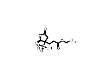 CCOC(=O)CCC1(P(=O)(O)O)CC(=O)OC1=O